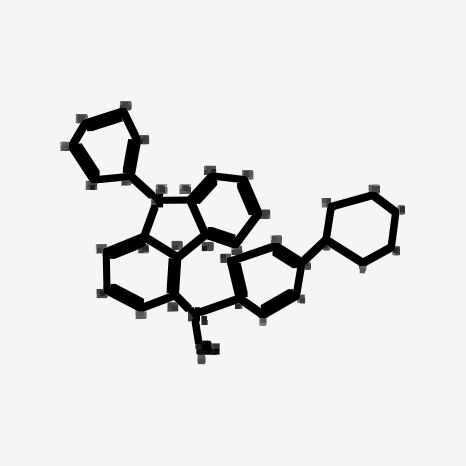 CC(C)(C)N(c1ccc(C2CCCCC2)cc1)c1cccc2c1c1ccccc1n2-c1ccccc1